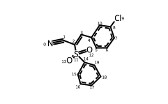 N#C/C(=C/c1cccc(Cl)c1)S(=O)(=O)c1ccccc1